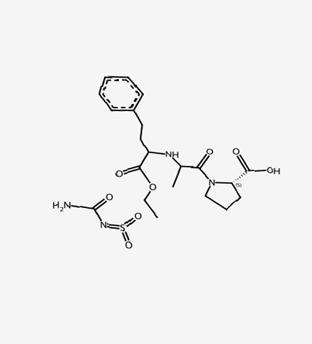 CCOC(=O)C(CCc1ccccc1)NC(C)C(=O)N1CCC[C@H]1C(=O)O.NC(=O)N=S(=O)=O